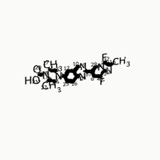 Cc1nc2c(F)cc(-c3ncc4cc(N5C[C@H](C)N(C(=O)O)[C@@H](C)C5)ccc4n3)cn2c1F